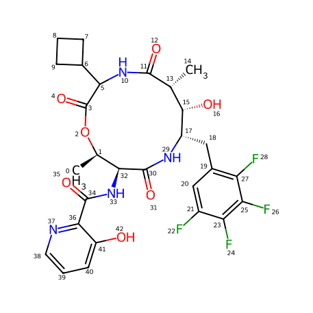 C[C@H]1OC(=O)C(C2CCC2)NC(=O)[C@H](C)[C@H](O)[C@H](Cc2cc(F)c(F)c(F)c2F)NC(=O)[C@H]1NC(=O)c1ncccc1O